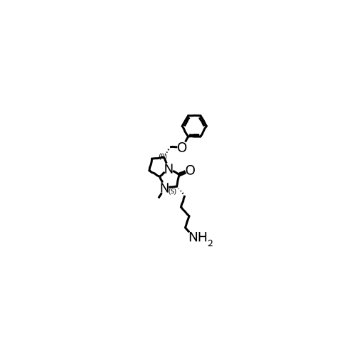 CN1C2CC[C@H](COc3ccccc3)N2C(=O)[C@@H]1CCCCN